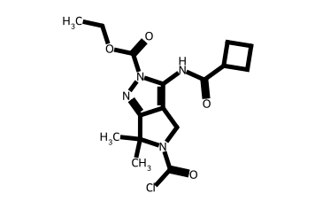 CCOC(=O)n1nc2c(c1NC(=O)C1CCC1)CN(C(=O)Cl)C2(C)C